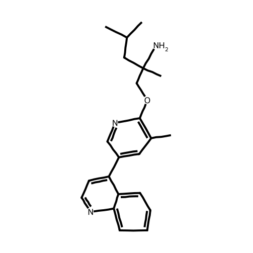 Cc1cc(-c2ccnc3ccccc23)cnc1OCC(C)(N)CC(C)C